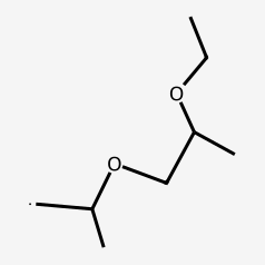 [CH2]C(C)OCC(C)OCC